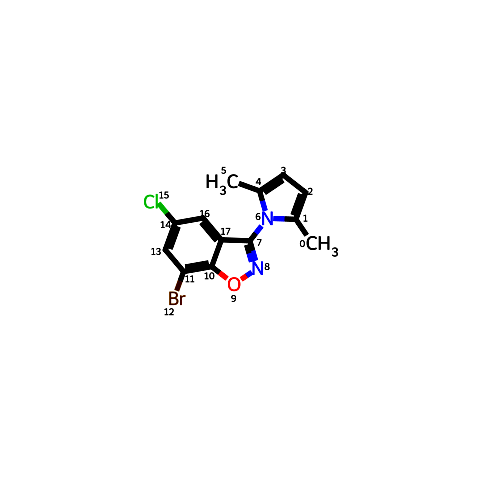 Cc1ccc(C)n1-c1noc2c(Br)cc(Cl)cc12